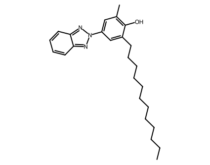 CCCCCCCCCCCCc1cc(-n2nc3ccccc3n2)cc(C)c1O